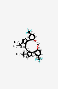 CC(C)(C)C1=CCC2=C1CCC1=C(CC=C1C(C)(C)C)c1cc(C(F)(F)F)ccc1[O][Zr][O]c1ccc(C(F)(F)F)cc12